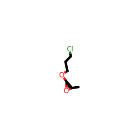 CC1=C(OCCCCl)O1